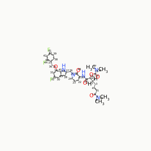 [2H]C([2H])(C/C=C/C(=O)N(C)C)C(OC(=O)N(C)C)C(=O)Nc1cccn(Cc2cc3cc(F)cc(OCc4ccc(F)cc4F)c3[nH]2)c1=O